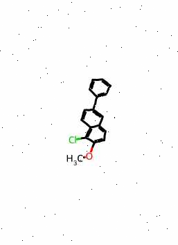 COc1ccc2cc(-c3ccccc3)ccc2c1Cl